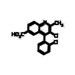 Cc1nc2ccc(C(=O)O)cc2c(-c2ccccc2Cl)c1Cl